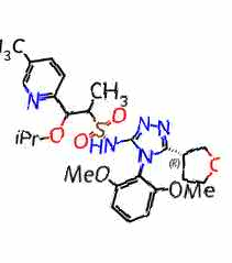 COc1cccc(OC)c1-n1c(NS(=O)(=O)C(C)C(OC(C)C)c2ccc(C)cn2)nnc1[C@H]1CCOC1